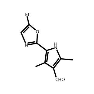 CCc1cnc(-c2[nH]c(C)c(C=O)c2C)o1